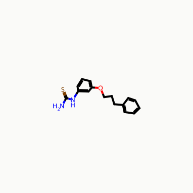 NC(=S)Nc1cccc(OCCCc2ccccc2)c1